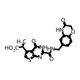 CC(C(=O)O)c1csc2nc(C(=O)NCc3ccc4c(c3)NC(=O)CO4)[nH]c(=O)c12